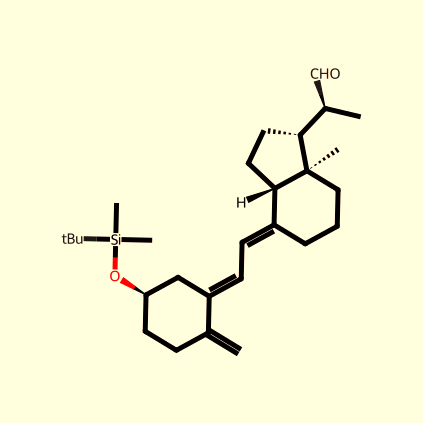 C=C1CC[C@@H](O[Si](C)(C)C(C)(C)C)C/C1=C\C=C1/CCC[C@]2(C)[C@@H]([C@H](C)C=O)CC[C@@H]12